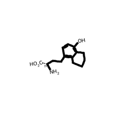 N[C@@H](CCc1ccc(O)c2c1CCCC2)C(=O)O